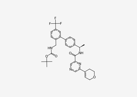 C[C@@H](NC(=O)c1cncc(C2=CCOCC2)n1)c1ccc(-c2cc(C(F)(F)F)ccc2CNC(=O)OC(C)(C)C)cc1